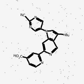 CCCCc1cn(-c2cnc(C#N)nc2)c2cc(-c3cc(C(=O)O)ccn3)ncc12